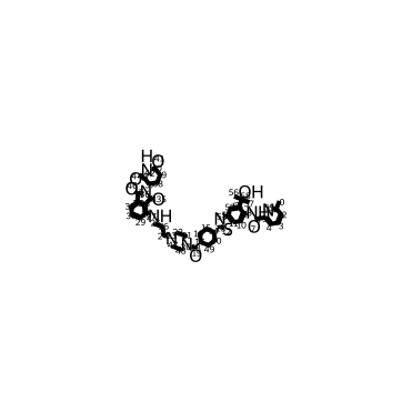 Cc1cccc(C(=O)Nc2cc3sc([C@H]4CC[C@H](C(=O)N5CCN(CCCNc6cccc7c6C(=O)N(C6CCC(=O)NC6=O)C7=O)CC5)CC4)nc3cc2C(C)(C)O)n1